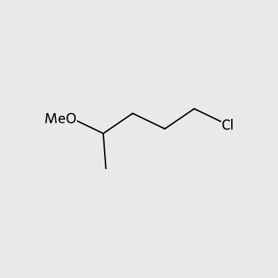 COC(C)CCCCl